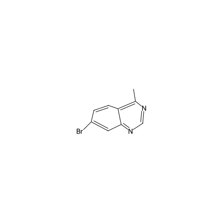 Cc1ncnc2cc(Br)ccc12